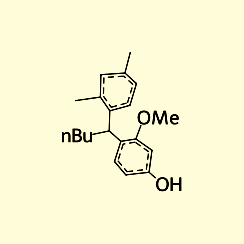 CCCCC(c1ccc(C)cc1C)c1ccc(O)cc1OC